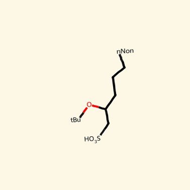 CCCCCCCCCCCCC(CS(=O)(=O)O)OC(C)(C)C